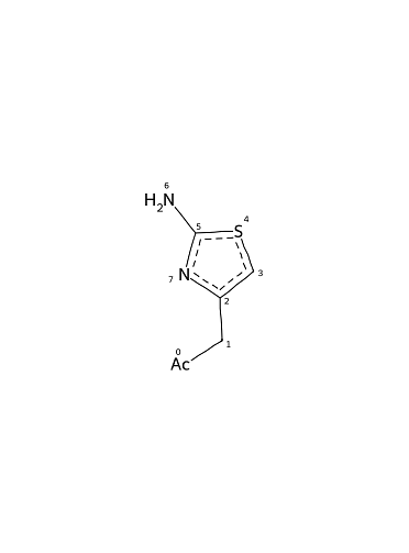 CC(=O)Cc1csc(N)n1